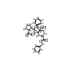 O=C(O[C@H]1CN(C(=O)OCc2ccccc2)CC[C@@]1(O)Cc1ccccc1)C1CCC[C@@H]1C(=O)C(F)(F)F